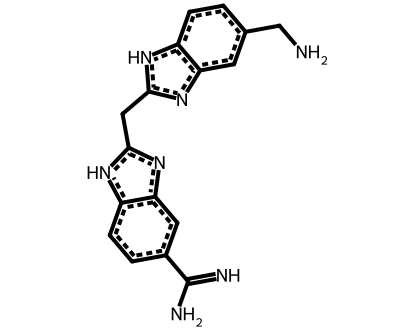 N=C(N)c1ccc2[nH]c(Cc3nc4cc(CN)ccc4[nH]3)nc2c1